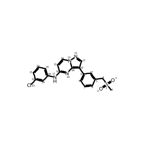 CS(=O)(=O)Cc1cccc(-c2cnn3ccc(Nc4cccc(Cl)c4)nc23)c1